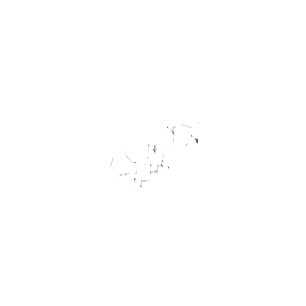 c1ccc2c(c1)ncn1nc(-c3cnccn3)nc21